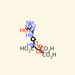 Nc1nc(O)c2nc(CNc3ccc(C(=O)NC(CCC(O)(P=O)C(CCC(=O)O)C(=O)O)C(=O)O)cc3)cnc2n1